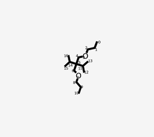 CCCOCC(COCCC)(C(C)C)C(C)C